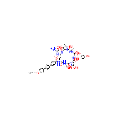 CCCCCOc1ccc(-c2ccc(-c3ccc(C(=O)N[C@H]4C[C@@H](O)C(NC(CN)CO)NC(=O)C5[C@@H](O)[C@@H](C)CN5C(=O)C([C@@H](C)O)NC(=O)C([C@H](O)[C@@H](O)c5ccc(O)cc5)NC(=O)C5C[C@@H](O)CN5C(=O)C([C@@H](C)O)NC4=O)cc3)cc2)cc1